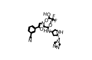 N#Cc1cccc(-c2cnc(C(=O)N[C@H]3CN[C@H](Cn4cnnc4)C3)o2)c1.O=C(O)C(F)(F)F